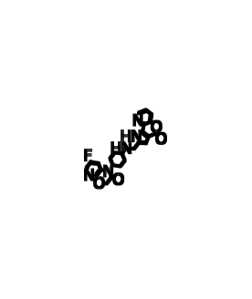 O=C1COc2ncc(F)cc2N1[C@H]1CC[C@H](NCc2cc3c(=O)oc4cccnc4c3[nH]2)CC1